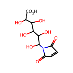 O=C(O)C(O)C(O)C(O)C(O)C(O)N1C(=O)C=CC1=O